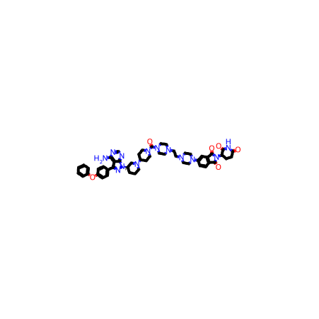 Nc1ncnc2c1c(-c1ccc(Oc3ccccc3)cc1)nn2[C@@H]1CCCN(C2CCN(C(=O)N3CCN(CCN4CCN(c5ccc6c(c5)C(=O)N(C5CCC(=O)NC5=O)C6=O)CC4)CC3)CC2)C1